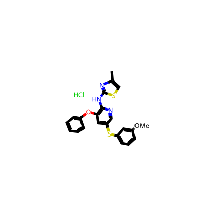 COc1cccc(Sc2cnc(Nc3nc(C)cs3)c(Oc3ccccc3)c2)c1.Cl